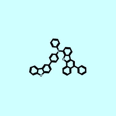 c1ccc(-c2cc3c4cccc(N(c5ccccc5)c5ccc(-c6ccc7oc8ccccc8c7c6)cc5)c4oc3c3ccccc23)cc1